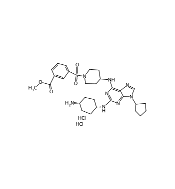 COC(=O)c1cccc(S(=O)(=O)N2CCC(Nc3nc(N[C@H]4CC[C@H](N)CC4)nc4c3ncn4C3CCCC3)CC2)c1.Cl.Cl